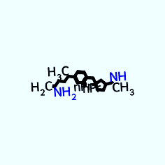 C=C(N)CCC(C)c1ccc(CC2(CCC)CCC(C(C)=N)C2)c(CCC)c1